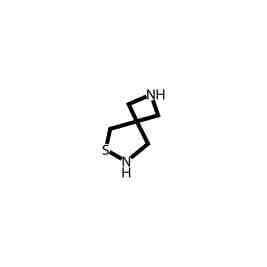 C1NCC12CNSC2